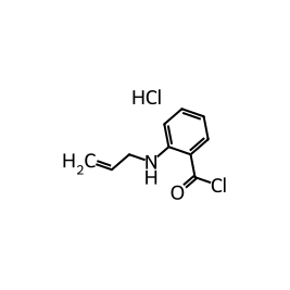 C=CCNc1ccccc1C(=O)Cl.Cl